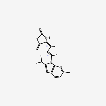 C=C1CC(=O)N/C1=C(C)/C=C(\C)n1c(C(C)C)cc2ccc(C)nc21